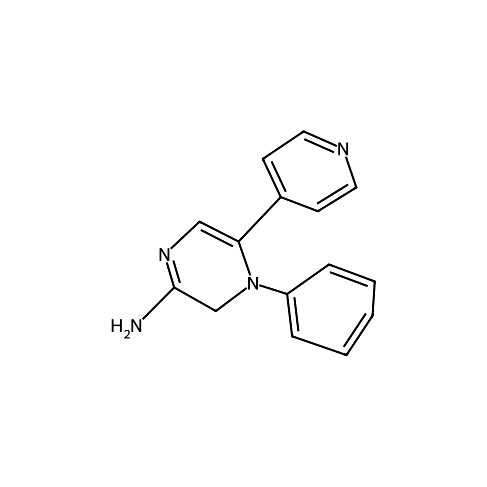 NC1=NC=C(c2ccncc2)N(c2ccccc2)C1